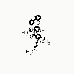 COCCCOc1cc(C(=O)N(C(C)C)[C@H]2CNC[C@@H](COc3ccccc3-c3ccccc3)C2)ccc1OC